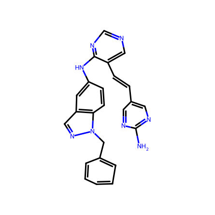 Nc1ncc(/C=C/c2cncnc2Nc2ccc3c(cnn3Cc3ccccc3)c2)cn1